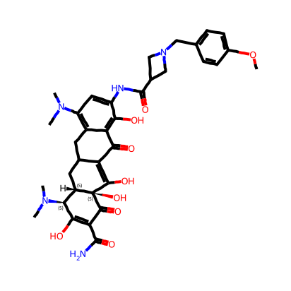 COc1ccc(CN2CC(C(=O)Nc3cc(N(C)C)c4c(c3O)C(=O)C3=C(O)[C@]5(O)C(=O)C(C(N)=O)=C(O)[C@@H](N(C)C)[C@@H]5CC3C4)C2)cc1